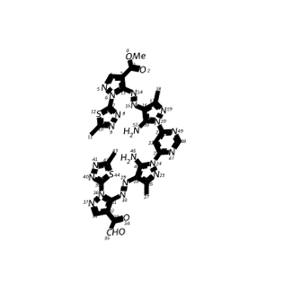 COC(=O)c1cnn(-c2nnc(C)s2)c1/N=N/c1c(C)nn(-c2cc(-n3nc(C)c(/N=N/c4c(C(=O)C=O)cnn4-c4nnc(C)s4)c3N)ncn2)c1N